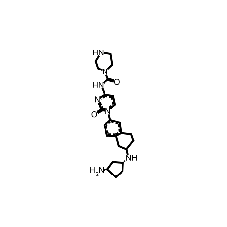 N[C@@H]1CC[C@@H](NC2CCc3cc(-n4ccc(NC(=O)N5CCNCC5)nc4=O)ccc3C2)C1